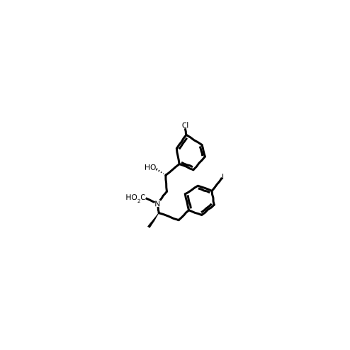 C[C@H](Cc1ccc(I)cc1)N(C[C@H](O)c1cccc(Cl)c1)C(=O)O